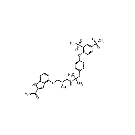 CC(C)(Cc1ccc(Oc2ccc(S(C)(=O)=O)cc2S(C)(=O)=O)cc1)NC[C@@H](O)COc1cccc2[nH]c(C(N)=O)cc12